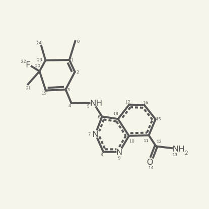 CC1=CC(CNc2ncnc3c(C(N)=O)cccc23)=CC(C)(F)C1C